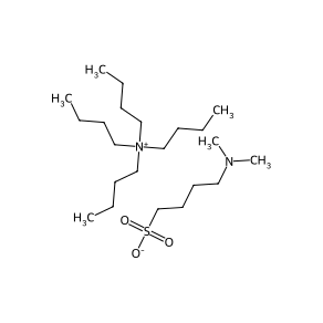 CCCC[N+](CCCC)(CCCC)CCCC.CN(C)CCCCS(=O)(=O)[O-]